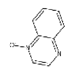 [O-][n+]1c[c]nc2ccccc21